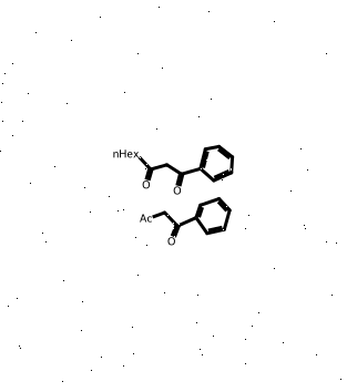 CC(=O)CC(=O)c1ccccc1.CCCCCCC(=O)CC(=O)c1ccccc1